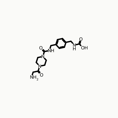 NCC(=O)N1CCN(C(=O)NCc2ccc(CNC(=O)O)cc2)CC1